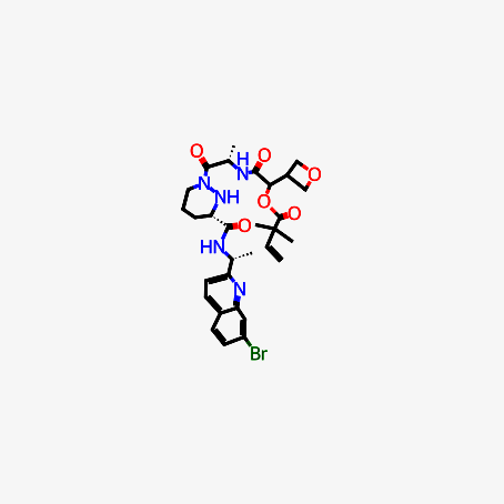 C=CC(C)(C)C(=O)OC(C(=O)N[C@@H](C)C(=O)N1CCC[C@@H](C(=O)N[C@H](C)c2ccc3ccc(Br)cc3n2)N1)C1COC1